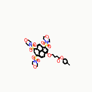 Cc1ccc(OC(=O)CCCOc2cc(S(=O)(=O)N3CCOCC3)c3ccc4c(S(=O)(=O)N5CCOCC5)cc(S(=O)(=O)N5CCOCC5)c5ccc2c3c54)cc1